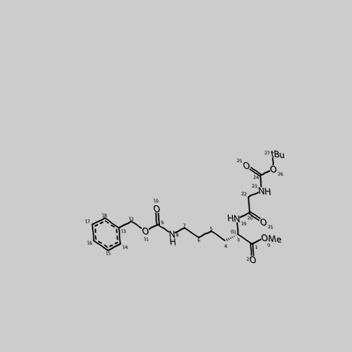 COC(=O)[C@H](CCCCNC(=O)OCc1ccccc1)NC(=O)CNC(=O)OC(C)(C)C